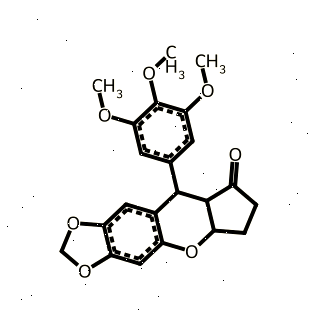 COc1cc(C2c3cc4c(cc3OC3CCC(=O)C32)OCO4)cc(OC)c1OC